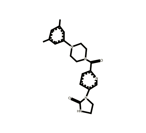 Cc1cc(C)cc(N2CCN(C(=O)c3ccc(N4CCNC4=O)cn3)CC2)c1